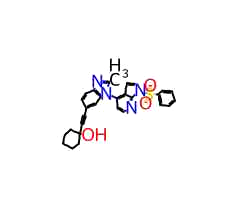 Cc1nc2ccc(C#CC3(O)CCCCC3)cc2n1-c1ccnc2c1ccn2S(=O)(=O)c1ccccc1